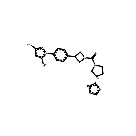 CC(C)c1cc(C(C)C)n(-c2ccc(C3CN(C(=O)N4CC[C@H](c5ncn[nH]5)C4)C3)cc2)n1